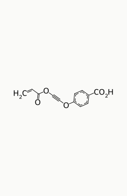 C=CC(=O)OC#COc1ccc(C(=O)O)cc1